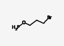 POCCCBr